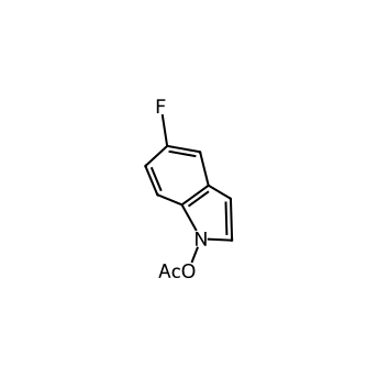 CC(=O)On1ccc2cc(F)ccc21